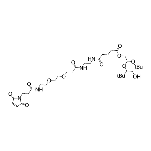 CC(C)(C)OC(COC(=O)CCCC(=O)NCCNC(=O)CCOCCOCCNC(=O)CCN1C(=O)C=CC1=O)OC(CO)C(C)(C)C